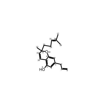 C=CCc1cc(O)c2c(c1)OC(C)(CCC=C(C)C)C=C2